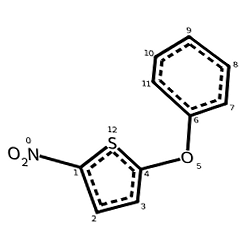 O=[N+]([O-])c1ccc(Oc2ccccc2)s1